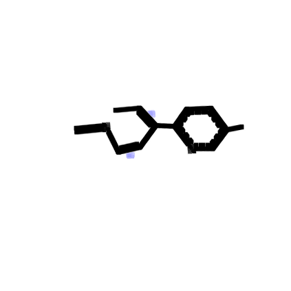 C=N/C=C\C(=C/C)c1ccc(C)cn1